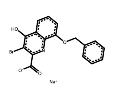 O=C([O-])c1nc2c(OCc3ccccc3)cccc2c(O)c1Br.[Na+]